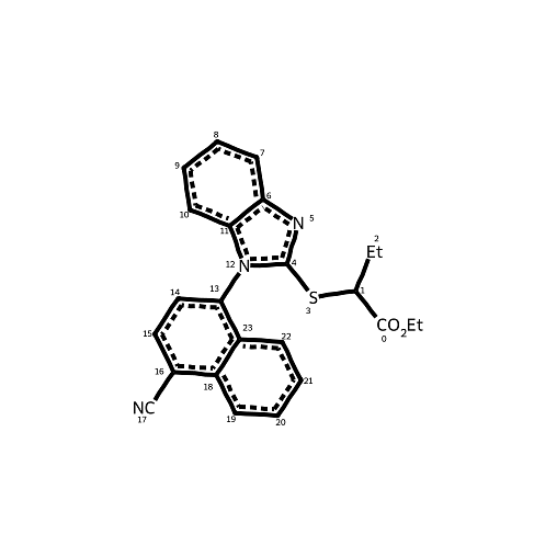 CCOC(=O)C(CC)Sc1nc2ccccc2n1-c1ccc(C#N)c2ccccc12